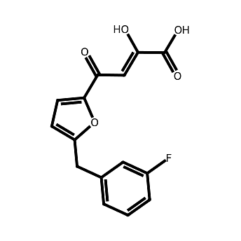 O=C(O)C(O)=CC(=O)c1ccc(Cc2cccc(F)c2)o1